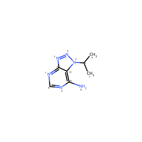 CC(C)n1nnc2ncnc(N)c21